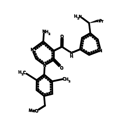 CCC[C@@H](N)c1cncc(NC(=O)c2c(N)ncn(-c3c(C)cc(COC)cc3C)c2=O)c1